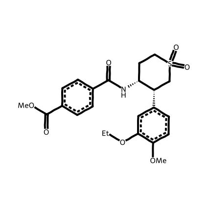 CCOc1cc([C@H]2CS(=O)(=O)CC[C@H]2NC(=O)c2ccc(C(=O)OC)cc2)ccc1OC